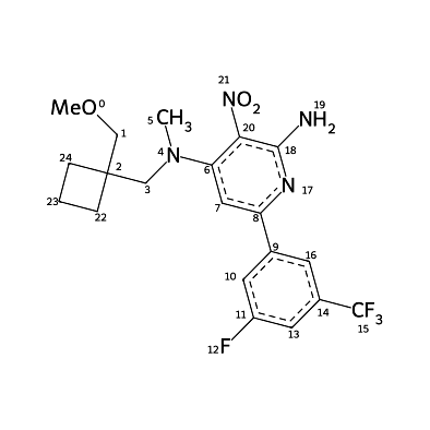 COCC1(CN(C)c2cc(-c3cc(F)cc(C(F)(F)F)c3)nc(N)c2[N+](=O)[O-])CCC1